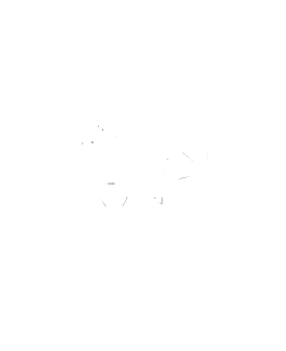 NC(=O)COc1ccc2c(c1)C(Cc1ccc(F)cc1)NCCC2